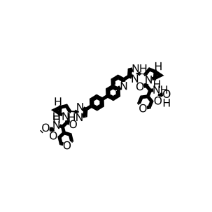 COC(=O)NC(C(=O)N1[C@@H]2C[C@@H]2C[C@H]1c1nc(-c2ccc(-c3ccc4nc(-c5c[nH]c([C@@H]6C[C@H]7C[C@H]7N6C(=O)C(NC(=O)O)C6CCOCC6)n5)ccc4c3)cc2)c[nH]1)C1CCOCC1